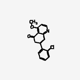 COc1ccnc2c1C(=O)CC(c1ccccc1Cl)C2